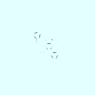 CCO[C@H]1Cc2ccccc2[C@H]1Nc1nc(SC)c(-c2ccc(Cl)cc2Cl)nc1C(N)=O